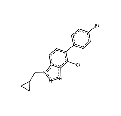 CCc1ccc(-c2ccc3c(nnn3CC3CC3)c2Cl)cc1